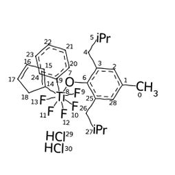 Cc1cc(CC(C)C)c([O][Ti]([F])([F])([F])([F])([F])([C]2=CC=CC2)[c]2ccccc2)c(CC(C)C)c1.Cl.Cl